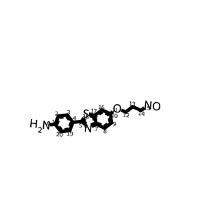 Nc1ccc(-c2nc3ccc(OCCCN=O)cc3s2)cc1